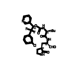 CCCC[C@H](NC(=O)O[C@H](c1cccnc1)C(F)(F)c1cccc(Cl)c1)C(=O)N[C@H](C=O)C[C@@H]1CCNC1=O